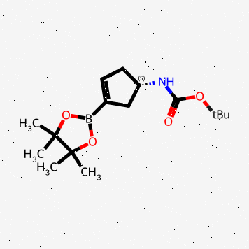 CC(C)(C)OC(=O)N[C@H]1CC=C(B2OC(C)(C)C(C)(C)O2)C1